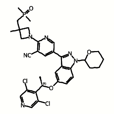 C[C@@H](Oc1ccc2c(c1)c(-c1cnc(N3CC(C)(CP(C)(C)=O)C3)c(C#N)c1)nn2C1CCCCO1)c1c(Cl)cncc1Cl